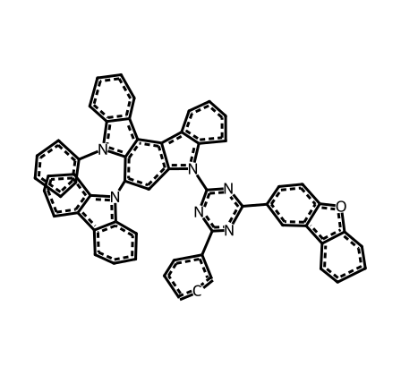 c1ccc(-c2nc(-c3ccc4oc5ccccc5c4c3)nc(-n3c4ccccc4c4c5c6ccccc6n(-c6ccccc6)c5c(-n5c6ccccc6c6ccccc65)cc43)n2)cc1